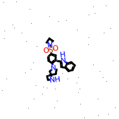 O=S(=O)(c1ccc(N2CCC3(CCN3)C2)c(-c2cc3ccccc3[nH]2)c1)N1CCC1